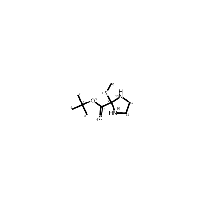 CSC1(C(=O)OC(C)(C)C)NCCN1